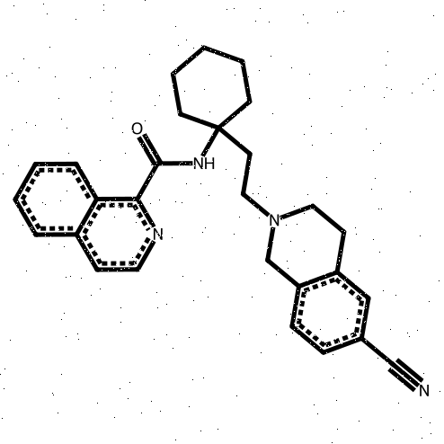 N#Cc1ccc2c(c1)CCN(CCC1(NC(=O)c3nccc4ccccc34)CCCCC1)C2